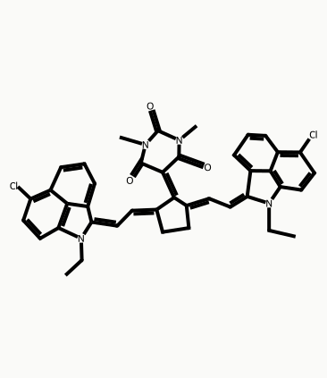 CCn1/c(=C/C=C2\CC/C(=C\C=c3/c4cccc5c(Cl)ccc(c54)n3CC)C2=C2C(=O)N(C)C(=O)N(C)C2=O)c2cccc3c(Cl)ccc1c32